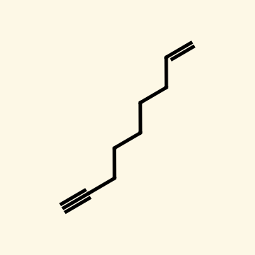 C#CCCCCCC=C